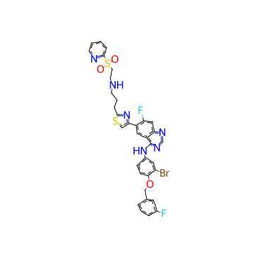 O=S(=O)(CCNCCCc1nc(-c2cc3c(Nc4ccc(OCc5cccc(F)c5)c(Br)c4)ncnc3cc2F)cs1)c1ccccn1